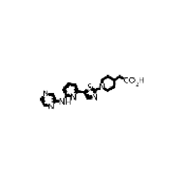 O=C(O)CC1CCN(c2ncc(-c3cccc(Nc4cnccn4)n3)s2)CC1